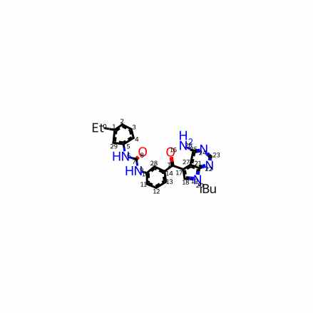 CCc1cccc(NC(=O)Nc2cccc(C(=O)c3cn(C(C)CC)c4ncnc(N)c34)c2)c1